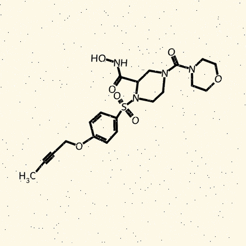 CC#CCOc1ccc(S(=O)(=O)N2CCN(C(=O)N3CCOCC3)CC2C(=O)NO)cc1